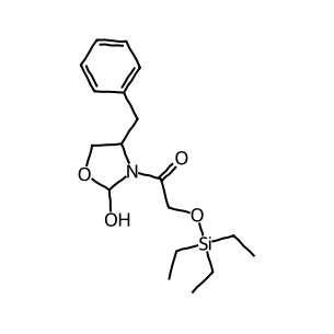 CC[Si](CC)(CC)OCC(=O)N1C(Cc2ccccc2)COC1O